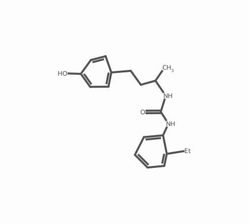 CCc1ccccc1NC(=O)NC(C)CCc1ccc(O)cc1